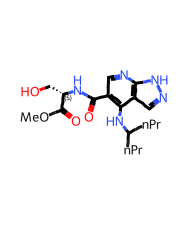 CCCC(CCC)Nc1c(C(=O)N[C@@H](CO)C(=O)OC)cnc2[nH]ncc12